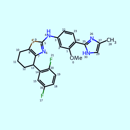 COc1cc(Nc2nc3c(s2)CCCC3c2cc(F)ccc2F)ccc1-c1nc(C)c[nH]1